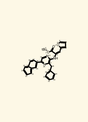 CC(C)(C)OC(=O)C(=Cc1ccco1)Nc1ncc(-c2ccc3ccccc3c2)nc1Cc1ccccc1